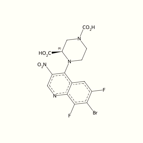 O=C(O)[C@H]1CN(C(=O)O)CCN1c1c([N+](=O)[O-])cnc2c(F)c(Br)c(F)cc12